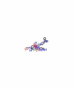 CC(C)c1ccccc1[C@@H]1CCCN1C1CC2(CCN(c3ccc(C(=O)NS(=O)(=O)c4ccc(NCC5CCOCC5)c([N+](=O)[O-])c4)c(N4c5cnccc5Oc5nc6[nH]ccc6cc54)c3)CC2)C1